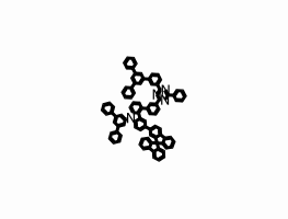 c1ccc(-c2cc(-c3ccccc3)cc(-c3cccc(-c4nc(-c5ccccc5)nc(-c5cccc(-c6cccc7c6c6cc(-c8ccc9c(c8)C8(c%10ccccc%10-c%10ccccc%108)c8ccccc8-9)ccc6n7-c6cc(-c7ccccc7)cc(-c7ccccc7)c6)c5)n4)c3)c2)cc1